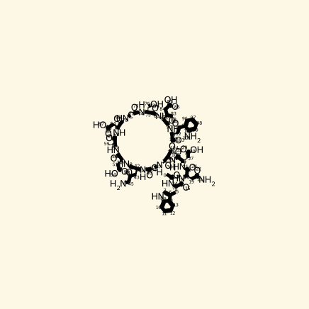 CC(=O)N[C@@H](Cc1c[nH]c2ccccc12)C(=O)N[C@H](CC(N)=O)C(=O)N[C@@H](CC(=O)O)C(=O)N[C@@H]1C(=O)NCC(=O)N[C@@H](CCCN)C(=O)N[C@@H](CC(=O)O)C(=O)N[C@H](C)C(=O)N[C@@H](CC(=O)O)C(=O)NCC(=O)N[C@H](CO)C(=O)N[C@@H](C(C)CC(=O)O)C(=O)N[C@@H](CC(=O)c2ccccc2N)C(=O)O[C@@H]1C